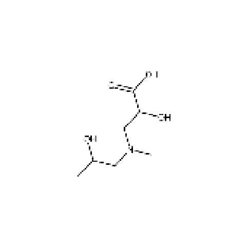 CC(O)CN(C)CC(O)C(=O)O